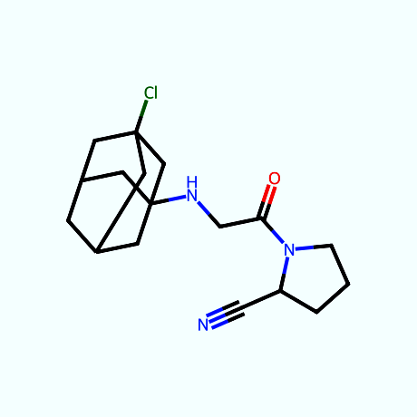 N#CC1CCCN1C(=O)CNC12CC3CC(CC(Cl)(C3)C1)C2